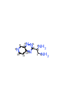 NCC(N)c1nnc2cnccc2n1